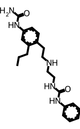 CCCc1cc(NC(N)=O)ccc1CCNCCNC(=O)Nc1ccccc1